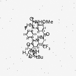 COc1cc(C(=O)NCC(c2cc3c(c(-c4ccc(F)cc4)n2)OCC3(C)N[S+]([O-])C(C)(C)C)C(F)(F)F)cc2c1NC(=O)NC2